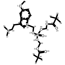 COc1ccc2c(c1)c(CCN(C)C)cn2COP(=O)(OCOC(=O)C(C)(C)C)OCOC(=O)C(C)(C)C